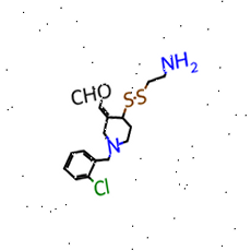 NCCSSC1CCN(Cc2ccccc2Cl)C/C1=C/C=O